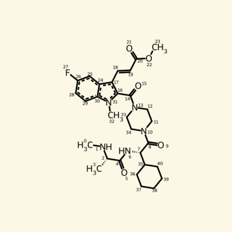 CN[C@@H](C)C(=O)N[C@H](C(=O)N1CCN(C(=O)c2c(/C=C/C(=O)OC)c3cc(F)ccc3n2C)CC1)C1CCCCC1